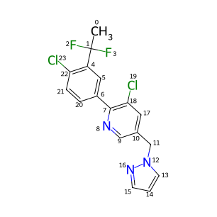 CC(F)(F)c1cc(-c2ncc(Cn3cccn3)cc2Cl)ccc1Cl